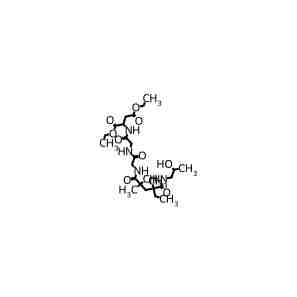 CCOC(=O)CC(NC(=O)CNC(=O)CNC(=O)C(C)(C)CC(C)(CC)C(=O)NCC(C)O)C(=O)OCC